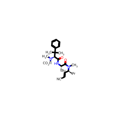 CC(C)[C@@H](C=CC#N)N(C)C(=O)[C@@H](NC(=O)[C@@H](N(C)C(=O)O)C(C)(C)c1ccccc1)C(C)(C)C